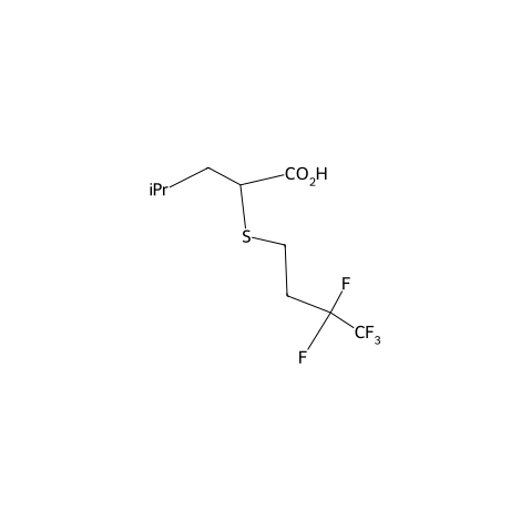 CC(C)CC(SCCC(F)(F)C(F)(F)F)C(=O)O